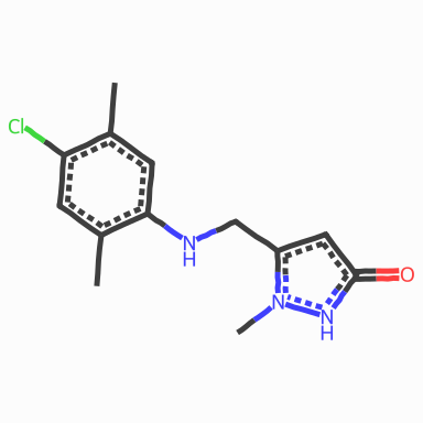 Cc1cc(NCc2cc(=O)[nH]n2C)c(C)cc1Cl